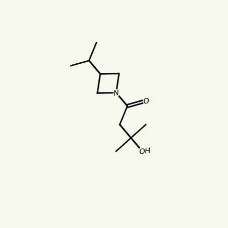 CC(C)C1CN(C(=O)CC(C)(C)O)C1